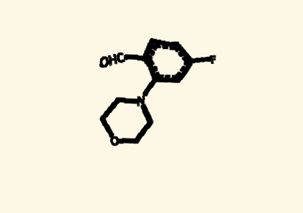 O=Cc1ccc(F)cc1N1CCOCC1